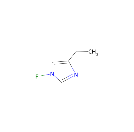 CCc1cn(F)cn1